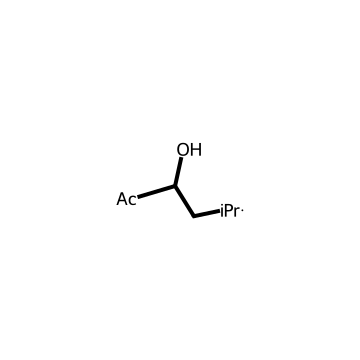 C[C](C)CC(O)C(C)=O